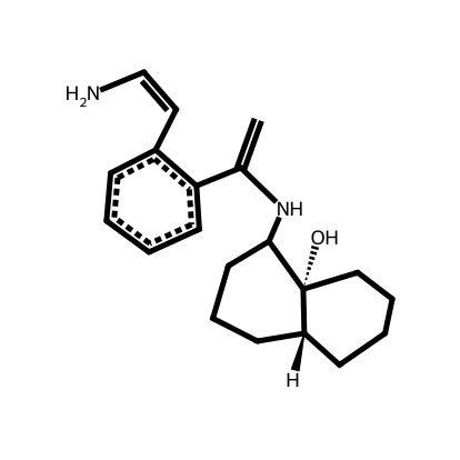 C=C(NC1CCC[C@H]2CCCC[C@]12O)c1ccccc1/C=C\N